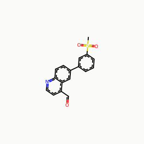 CS(=O)(=O)c1cccc(-c2ccc3nccc(C=O)c3c2)c1